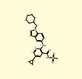 CS(=O)(=O)NC(=O)c1cc(C2CC2)cnc1Nc1ccc2c(ccn2CC2CCCCC2)c1